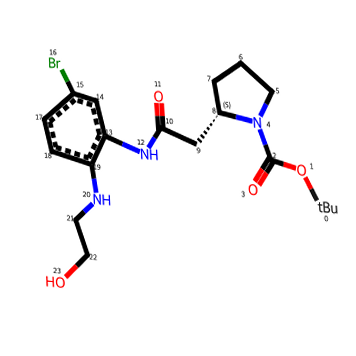 CC(C)(C)OC(=O)N1CCC[C@H]1CC(=O)Nc1cc(Br)ccc1NCCO